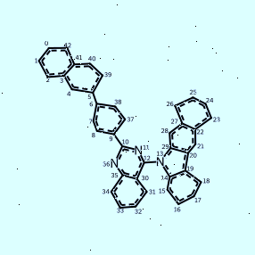 c1ccc2cc(-c3ccc(-c4nc(-n5c6ccccc6c6cc7ccccc7cc65)c5ccccc5n4)cc3)ccc2c1